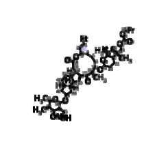 CC/C=C/[C@H]1CCC[C@H](OC2CCC([N+](C)(C)COC(=O)OC(C)C)C(C)O2)[C@@H](C)C(=O)C2=C[C@H]3[C@@H]4C[C@H](OC5OC(C)C(C)C(OC)C5CO)C[C@H]4C=C[C@H]3C2CC(=O)O1